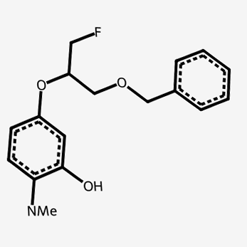 CNc1ccc(OC(CF)COCc2ccccc2)cc1O